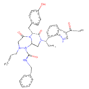 C=CCN1CC(=O)N2C(Cc3ccc(O)cc3)C(=O)N(C(C)c3cccc4c(C(=O)CCC)c[nH]c34)CC2N1C(=O)NCc1ccccc1